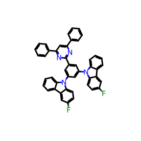 Fc1ccc2c(c1)c1ccccc1n2-c1cc(-c2nc(-c3ccccc3)cc(-c3ccccc3)n2)cc(-n2c3ccccc3c3cc(F)ccc32)c1